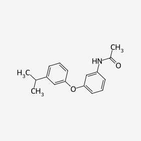 CC(=O)Nc1cccc(Oc2cccc(C(C)C)c2)c1